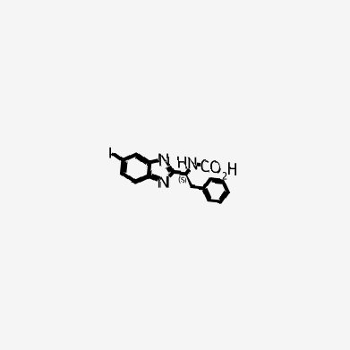 O=C(O)N[C@@H](Cc1ccccc1)C1=NC2=CC(I)=CCC2=N1